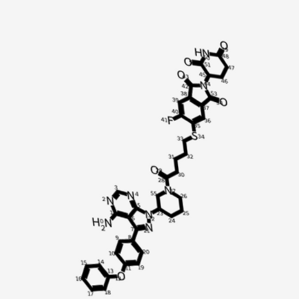 Nc1ncnc2c1c(-c1ccc(Oc3ccccc3)cc1)nn2C1CCCN(C(=O)CCCCSc2cc3c(cc2F)C(=O)N(C2CCC(=O)NC2=O)C3=O)C1